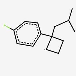 CC(C)CC1(c2ccc(F)cc2)[CH]CC1